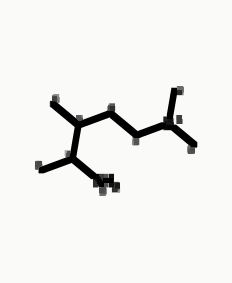 CB(C)CCC(C)C(C)N